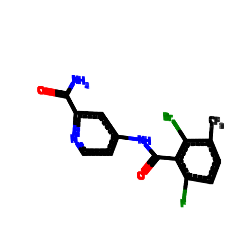 NC(=O)c1cc(NC(=O)c2c(F)ccc(C(F)(F)F)c2Br)ccn1